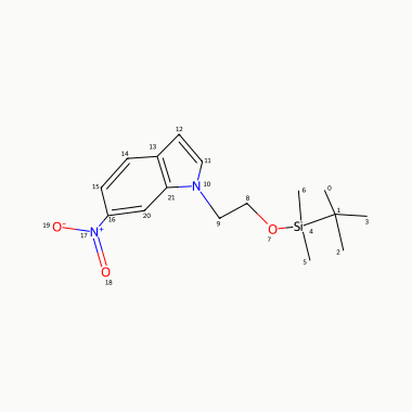 CC(C)(C)[Si](C)(C)OCCn1ccc2ccc([N+](=O)[O-])cc21